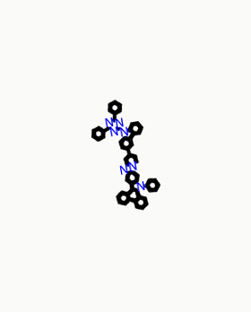 c1ccc(-c2nc(-c3ccccc3)nc(-n3c4ccccc4c4cc(-c5ccn6c(c5)nc5cc7c8c9ccccc9c9ccccc9c8n(-c8ccccc8)c7cc56)ccc43)n2)cc1